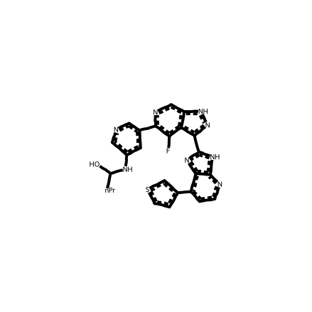 CCCC(O)Nc1cncc(-c2ncc3[nH]nc(-c4nc5c(-c6ccsc6)ccnc5[nH]4)c3c2F)c1